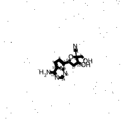 N#C[C@]1(CO)OC(c2ccc3c(N)ncnn23)CC1O